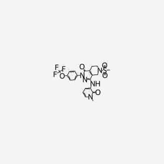 Cn1cccc(Nc2nn(-c3ccc(OC(F)(F)F)cc3)c(=O)c3c2CN(S(C)(=O)=O)CC3)c1=O